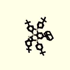 CC(C)(C)c1ccc(N2c3cc(C(C)(C)C)ccc3B3c4sc5ccc(C(C)(C)C)cc5c4N(c4ccc(C(C)(C)C)cc4)c4cc(C56CC7CC(CC(C7)C5)C6)cc2c43)cc1